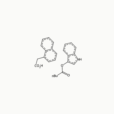 CCCCC(=O)Oc1c[nH]c2ccccc12.O=C(O)Cc1cccc2ccccc12